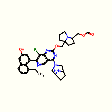 CCc1cccc2cc(O)cc(-c3ncc4c(N5CC6CCC(C5)N6)nc(OCC56CCCN5C(COC=O)CC6)nc4c3F)c12